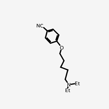 CCN(CC)CCCCCOc1ccc(C#N)cc1